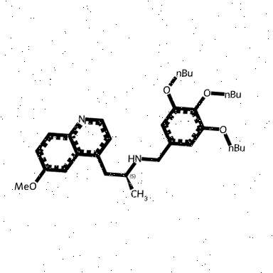 CCCCOc1cc(CN[C@@H](C)Cc2ccnc3ccc(OC)cc23)cc(OCCCC)c1OCCCC